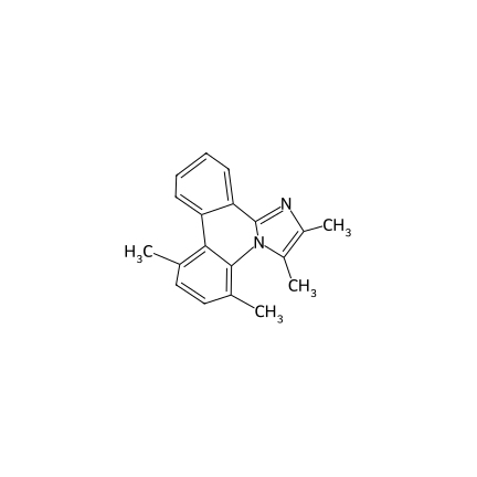 Cc1nc2c3ccccc3c3c(C)ccc(C)c3n2c1C